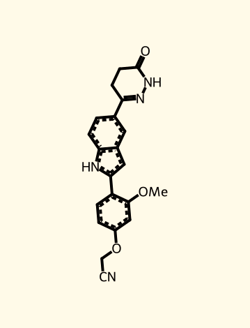 COc1cc(OCC#N)ccc1-c1cc2cc(C3=NNC(=O)CC3)ccc2[nH]1